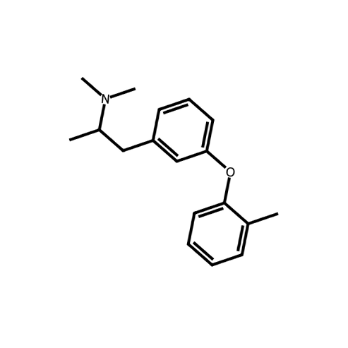 Cc1ccccc1Oc1cccc(CC(C)N(C)C)c1